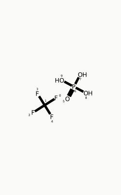 FC(F)(F)F.O=P(O)(O)O